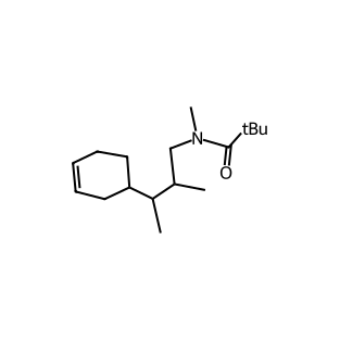 CC(CN(C)C(=O)C(C)(C)C)C(C)C1CC=CCC1